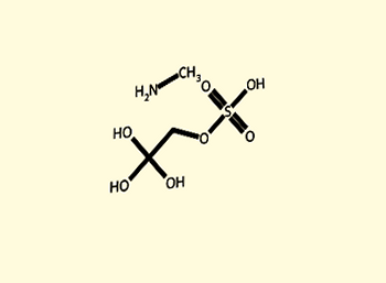 CN.O=S(=O)(O)OCC(O)(O)O